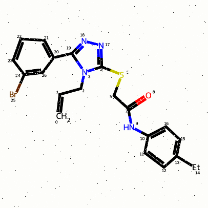 C=CCn1c(SCC(=O)Nc2ccc(CC)cc2)nnc1-c1cccc(Br)c1